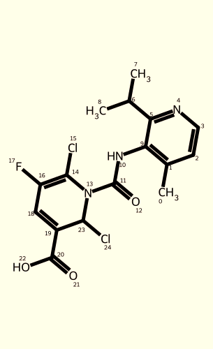 Cc1ccnc(C(C)C)c1NC(=O)N1C(Cl)=C(F)C=C(C(=O)O)C1Cl